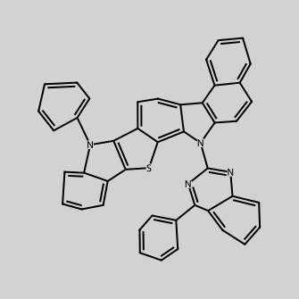 c1ccc(-c2nc(-n3c4ccc5ccccc5c4c4ccc5c(sc6c7ccccc7n(-c7ccccc7)c56)c43)nc3ccccc23)cc1